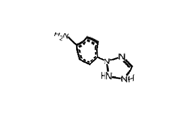 Nc1ccc(N2N=CNN2)cc1